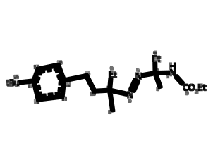 CCOC(=O)NC(C)(CC)N=NC(C)(CC)CCc1ccc(C(C)(C)C)cc1